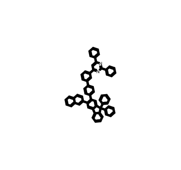 c1ccc(-c2cc(-c3cccc(-c4ccc(-c5cc6c(cc5-c5ccc7ccccc7c5)-c5ccccc5C6(c5ccccc5)c5ccccc5)cc4)c3)nc(-c3ccccc3)n2)cc1